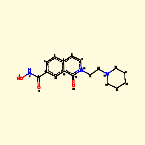 O=C(NO)c1ccc2ccn(CCN3CCCCC3)c(=O)c2c1